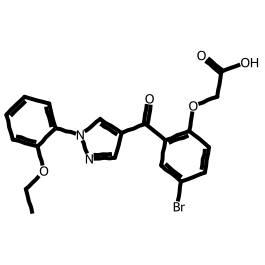 CCOc1ccccc1-n1cc(C(=O)c2cc(Br)ccc2OCC(=O)O)cn1